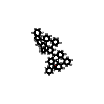 CC1(C)c2ccccc2-c2ccc(N(c3ccc4c(c3)-c3ccccc3-c3ccccc3C43c4ccccc4-c4cc5sc6ccccc6c5cc43)c3cccc4c3Oc3ccccc3-c3ccccc3-4)cc21